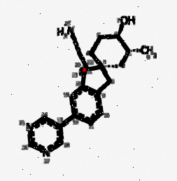 C[C@@H]1C[C@]2(CC[C@H]1O)Cc1ccc(-c3cncnc3)cc1C21COC(N)=N1